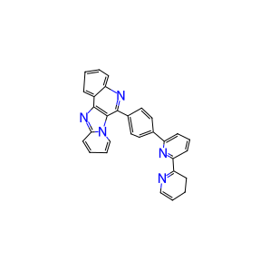 C1=CN=C(c2cccc(-c3ccc(-c4nc5ccccc5c5nc6ccccn6c45)cc3)n2)CC1